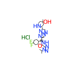 CC(C)n1ncnc1C(=O)N[C@H](c1cn2ncc(C3CC(C)(O)CCN3)nc2n1)C1CCC(F)(F)CC1.Cl